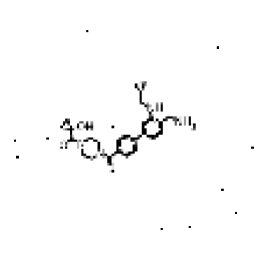 NCc1ccc(-c2ccc(C(=O)N3CCN(C(=O)C4(O)CC4)CC3)cc2)cc1NCC1CC1